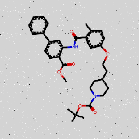 COC(=O)c1ccc(-c2ccccc2)cc1NC(=O)c1cc(OCCC2CCN(C(=O)OC(C)(C)C)CC2)ccc1C